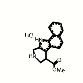 COC(=O)C1CNCc2[nH]c3c(ccc4ccccc43)c21.Cl